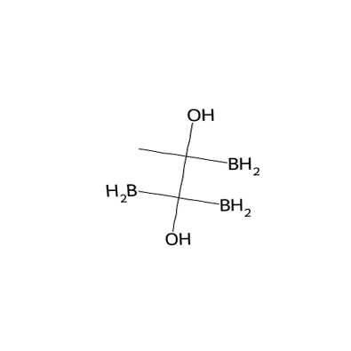 BC(B)(O)C(B)(C)O